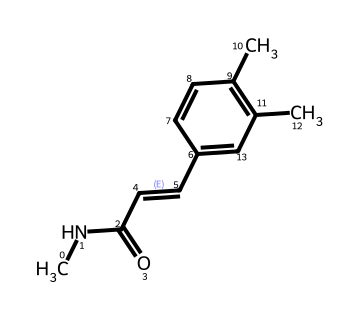 CNC(=O)/C=C/c1ccc(C)c(C)c1